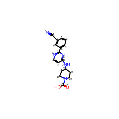 N#Cc1cccc(-c2nccc(NC3CCN(C(=O)O)CC3)n2)c1